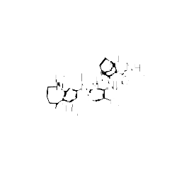 CCN1CCCC(C)(C)c2ccc(Nc3ncc(Cl)c(N[C@H]4[C@@H](C(N)=O)[C@@H]5C=C[C@H]4C5)n3)cc21